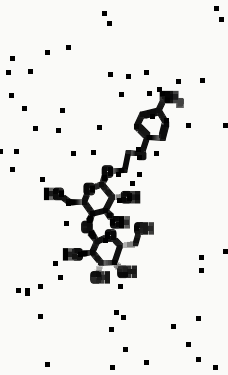 Nc1ccc(SCCO[C@@H]2O[C@H](CO)[C@H](O[C@H]3O[C@H](CO)[C@H](O)[C@H](O)[C@H]3O)[C@H](O)[C@H]2O)cc1